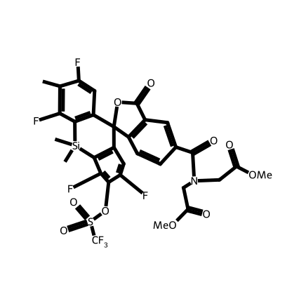 COC(=O)CN(CC(=O)OC)C(=O)c1ccc2c(c1)C(=O)OC21c2cc(F)c(C)c(F)c2[Si](C)(C)c2c1cc(F)c(OS(=O)(=O)C(F)(F)F)c2F